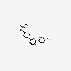 Cc1ccc(-c2nc(N3CCC(NS(C)(=O)=O)CC3)ccc2Cl)nc1